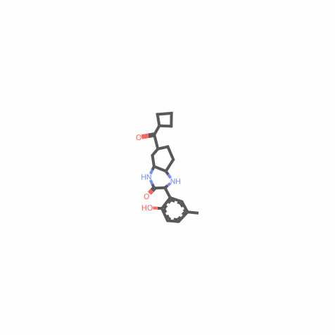 Cc1ccc(O)c(C2NC3CCC(C(=O)C4CCC4)CC3NC2=O)c1